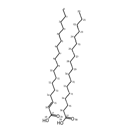 CCCCCCCCCCCCCCCC=CC(=O)O.CCCCCCCCCCCCCCCCCC(=O)O